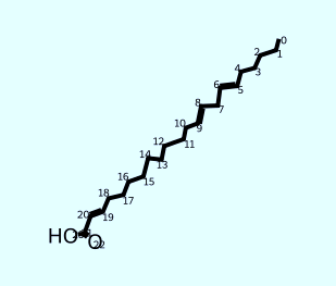 CCCCCC=CCC=CCCCCCCCCCC=CC(=O)O